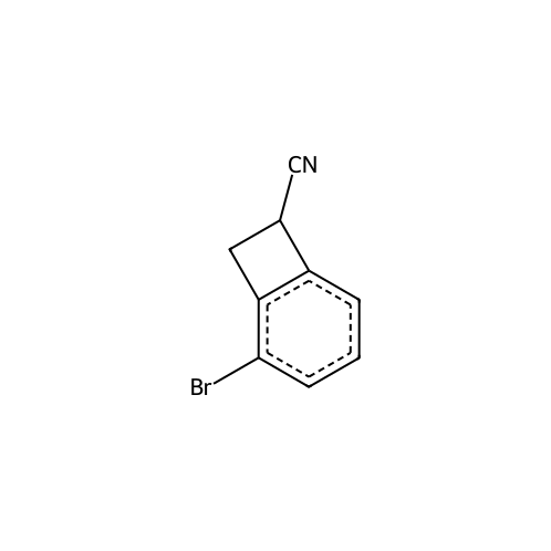 N#CC1Cc2c(Br)cccc21